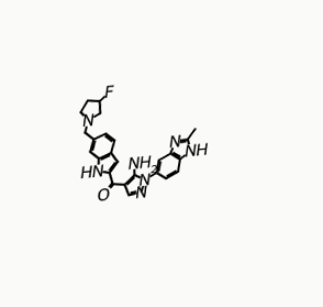 Cc1nc2cc(-n3ncc(C(=O)c4cc5ccc(CN6CCC(F)C6)cc5[nH]4)c3N)ccc2[nH]1